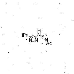 CC(=O)N1CC[C@H](Nc2cc(C(C)C)ncn2)C1